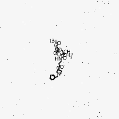 CC(C)(C)C(=O)OCO[P@@]1(=O)OCC(C)(C)[C@H](C(=O)NCCC(=O)OC2CCN(Cc3ccccc3)C2)O1